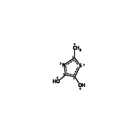 Cc1nc(O)c(O)s1